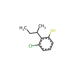 CCC(C)c1c(S)cccc1Cl